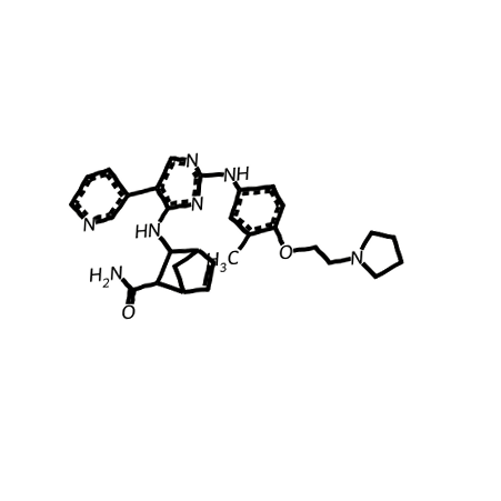 Cc1cc(Nc2ncc(-c3cccnc3)c(NC3C4C=CC(C4)C3C(N)=O)n2)ccc1OCCN1CCCC1